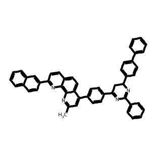 Cc1cc(-c2ccc(C3=NC(c4ccccc4)=NC(c4ccc(-c5ccccc5)cc4)C3)cc2)c2ccc3ccc(-c4ccc5ccccc5c4)nc3c2n1